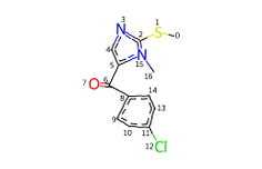 CSc1ncc(C(=O)c2ccc(Cl)cc2)n1C